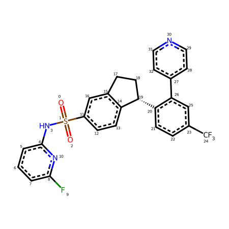 O=S(=O)(Nc1cccc(F)n1)c1ccc2c(c1)CC[C@@H]2c1ccc(C(F)(F)F)cc1-c1ccncc1